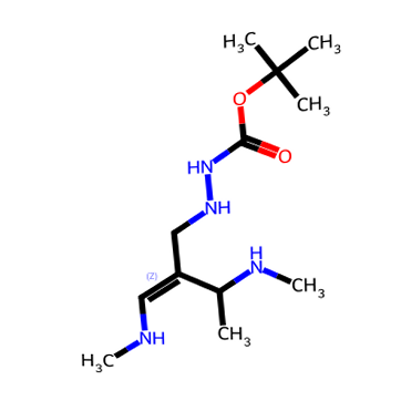 CN/C=C(/CNNC(=O)OC(C)(C)C)C(C)NC